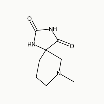 CN1CCCC2(C1)NC(=O)NC2=O